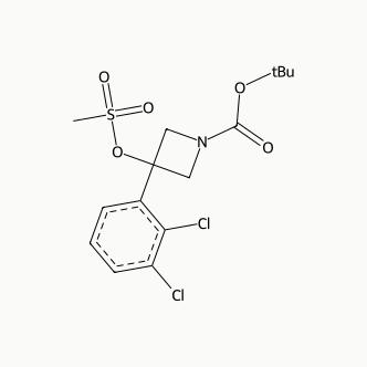 CC(C)(C)OC(=O)N1CC(OS(C)(=O)=O)(c2cccc(Cl)c2Cl)C1